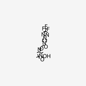 CC(=NOCC(=O)N1CCN(c2ncc(C(F)(F)F)cn2)CC1)C(C)N(C(=O)O)C(C)(C)C